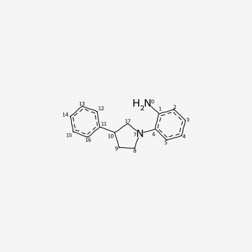 Nc1ccccc1N1CCC(c2ccccc2)C1